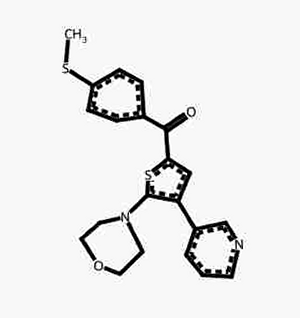 CSc1ccc(C(=O)c2cc(-c3cccnc3)c(N3CCOCC3)s2)cc1